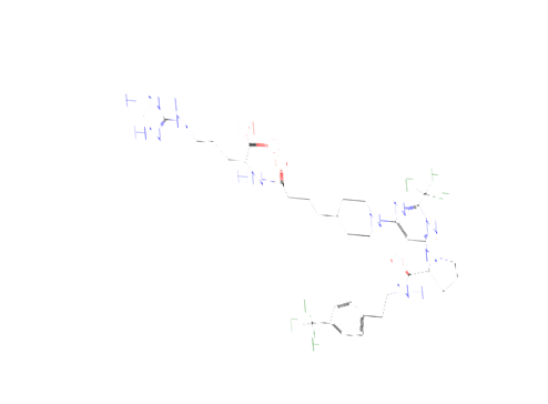 N=C(N)NCCCC(NC(=O)CCCC1CCN(c2cc(N3CCCC3C(=O)NCCc3ccc(C(F)(F)F)cc3)nc(C(F)(F)F)n2)CC1)C(=O)O